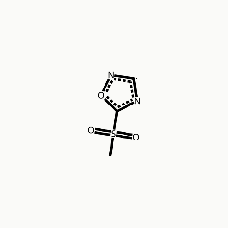 CS(=O)(=O)c1n[c]no1